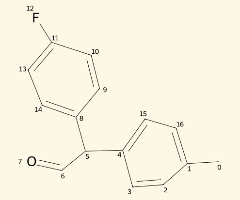 Cc1ccc(C(C=O)c2ccc(F)cc2)cc1